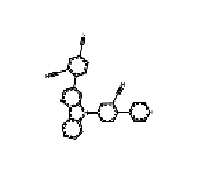 N#Cc1ccc(-c2ccc3c4ccccc4n(-c4ccc(-c5ccncc5)c(C#N)c4)c3c2)c(C#N)c1